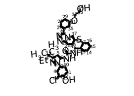 CCC(C)(C)c1cc(NC(=O)NCc2ccccc2Sc2ccc3nnc(-c4cccc(OCCO)c4)n3c2)n(-c2ccc(O)c(Cl)c2)n1